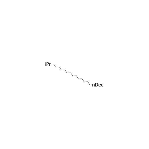 [CH2]C(C)CCCCCCCCCCCCCCCCCCCCCCCC